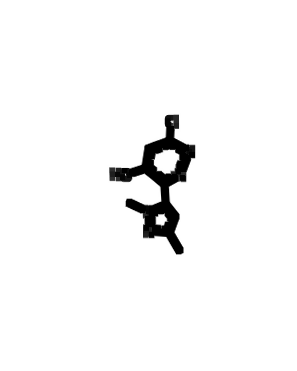 Cc1cc(-c2nnc(Cl)cc2O)n(C)n1